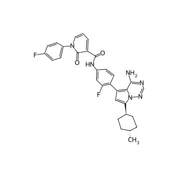 C[C@H]1CC[C@H](c2cc(-c3ccc(NC(=O)c4cccn(-c5ccc(F)cc5)c4=O)cc3F)c3c(N)ncnn32)CC1